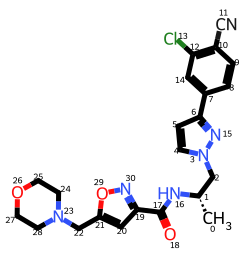 C[C@@H](Cn1ccc(-c2ccc(C#N)c(Cl)c2)n1)NC(=O)c1cc(CN2CCOCC2)on1